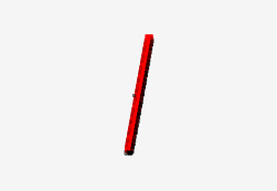 CCCCCCCCCCCCCCCCCCCCCCCCCCCCC=C[P]C=CCCCCCCCCCCCCCCCCCCCCCCCCCCCC